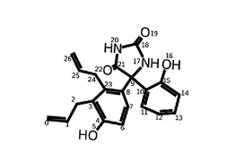 C=CCc1c(O)ccc(C2(c3ccccc3O)NC(=O)NC2=O)c1CC=C